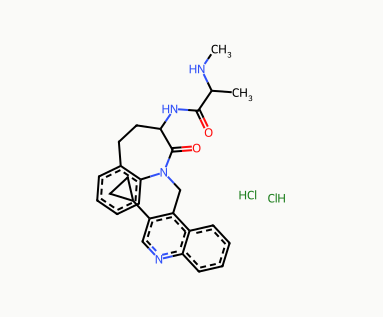 CNC(C)C(=O)NC1CCc2ccccc2N(Cc2c(C3CC3)cnc3ccccc23)C1=O.Cl.Cl